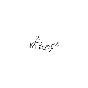 CC(C)n1nccc1C(=O)NC(c1nc2ccc(C(NC(=O)CC3CC(F)(F)C3)C3CC3)cc2[nH]1)[C@@H]1CCC(F)(F)CO1